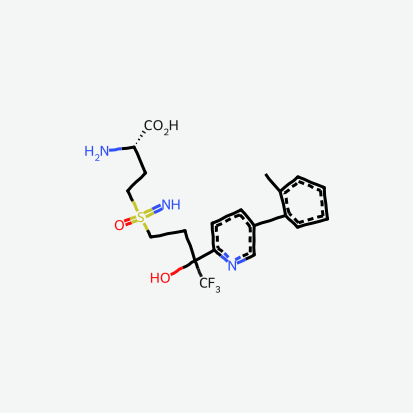 Cc1ccccc1-c1ccc(C(O)(CCS(=N)(=O)CC[C@H](N)C(=O)O)C(F)(F)F)nc1